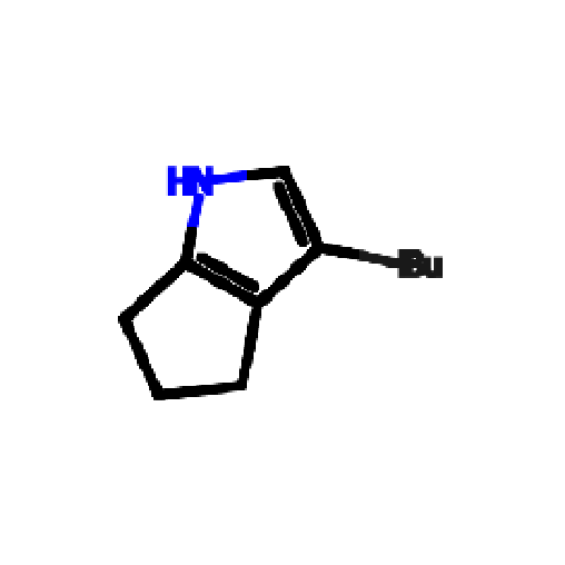 CCC(C)c1c[nH]c2c1CCC2